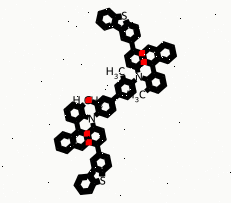 Cc1cc(-c2ccc(N(c3ccc(-c4ccc5sc6ccccc6c5c4)cc3)c3c(C)cccc3-c3cccc4ccccc34)c(C)c2)ccc1N(c1ccc(-c2ccc3sc4ccccc4c3c2)cc1)c1c(C)cccc1-c1cccc2ccccc12